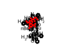 CCCC[C@@H](C(=O)N(C)[C@@H](CCCC)C(=O)N[C@@H](CCCNC(=N)N)C(=O)N[C@@H](CSCC(=O)N[C@@H](Cc1ccccc1)C(=O)N(C)[C@@H](C)C(=O)N[C@@H](CC(N)=O)C(=O)N1CCC2CCCCC21)C(=O)NCC(N)=O)N(C)C(=O)[C@H](Cc1c[nH]c2ccccc12)NC(=O)[C@H](CO)NC(=O)[C@H](Cc1c[nH]c2ccccc12)NC(=O)CN(C)C(=O)[C@H](CC(C)C)NC(=O)[C@H](Cc1cnc[nH]1)NCO